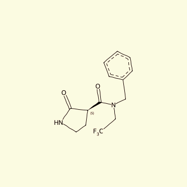 O=C1NCC[C@@H]1C(=O)N(Cc1ccccc1)CC(F)(F)F